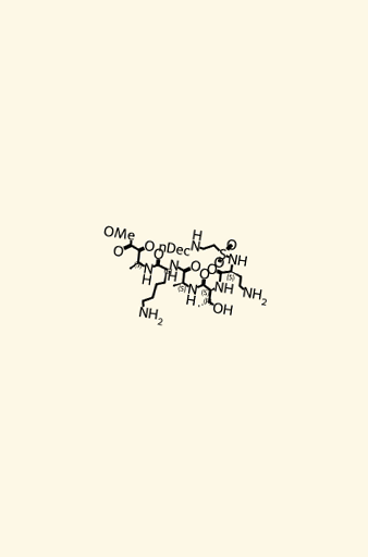 CCCCCCCCCCNCCS(=O)(=O)N[C@@H](CCN)C(=O)N[C@H](C(=O)N[C@@H](C)C(=O)N[C@@H](CCCCN)C(=O)N[C@@H](C)C(=O)C(=O)OC)[C@@H](C)O